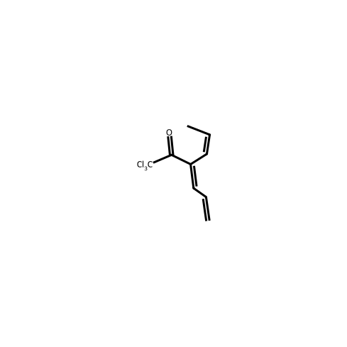 C=C/C=C(\C=C/C)C(=O)C(Cl)(Cl)Cl